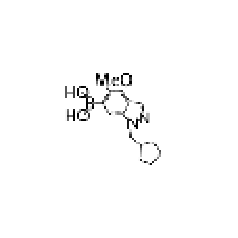 COc1cc2cnn(CC3CCCC3)c2cc1B(O)O